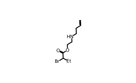 C=CCCNCCOC(=O)C(Br)CC